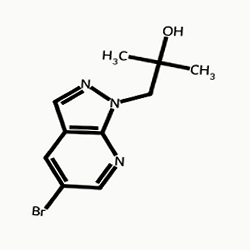 CC(C)(O)Cn1ncc2cc(Br)cnc21